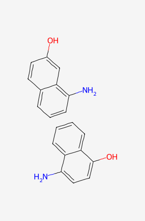 Nc1ccc(O)c2ccccc12.Nc1cccc2ccc(O)cc12